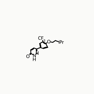 CC(C)CCOc1ccc(-c2ccc(=O)[nH]n2)cc1C(F)(F)F